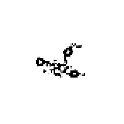 COc1ccc(CCN2C[C@H]3N(C(=O)CN(C)N3C(=O)NCc3ccccc3)[C@@H](Cc3ccc(O)cc3)C2=O)cc1